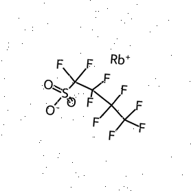 O=S(=O)([O-])C(F)(F)C(F)(F)C(F)(F)C(F)(F)F.[Rb+]